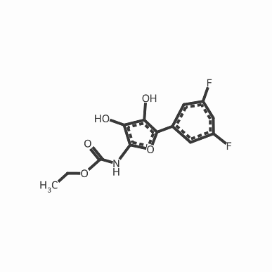 CCOC(=O)Nc1oc(-c2cc(F)cc(F)c2)c(O)c1O